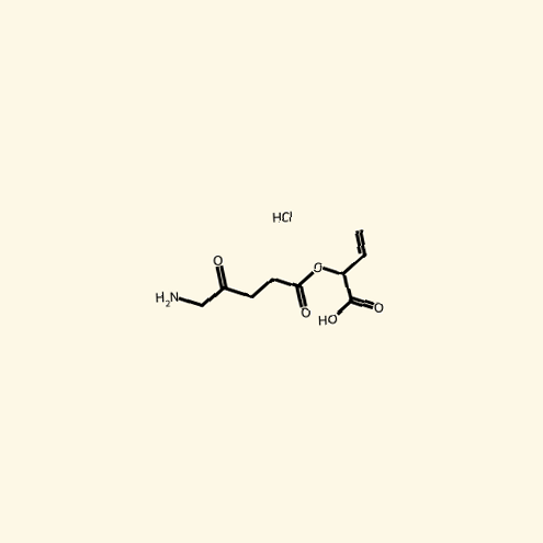 C=CC(OC(=O)CCC(=O)CN)C(=O)O.Cl